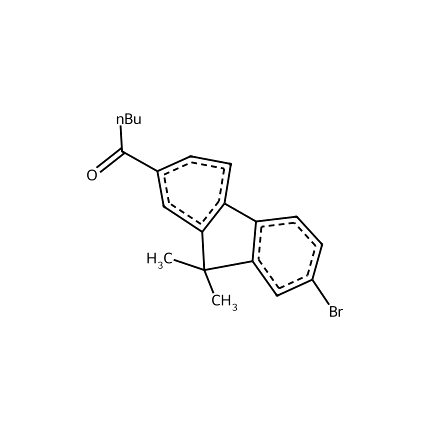 CCCCC(=O)c1ccc2c(c1)C(C)(C)c1cc(Br)ccc1-2